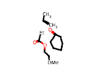 C=CC.CCC(=O)OCCOC.O=C1CCCCC1